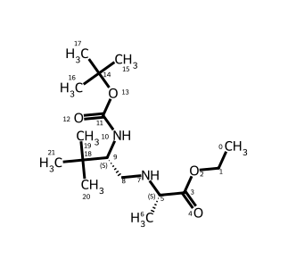 CCOC(=O)[C@H](C)NC[C@@H](NC(=O)OC(C)(C)C)C(C)(C)C